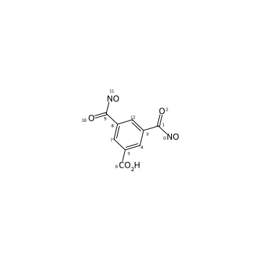 O=NC(=O)c1cc(C(=O)O)cc(C(=O)N=O)c1